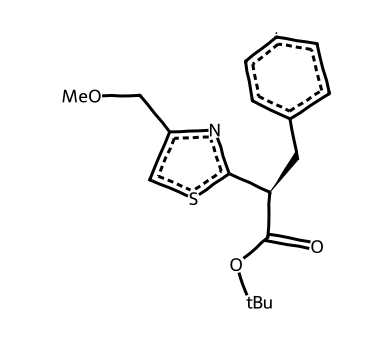 COCc1csc([C@@H](Cc2cc[c]cc2)C(=O)OC(C)(C)C)n1